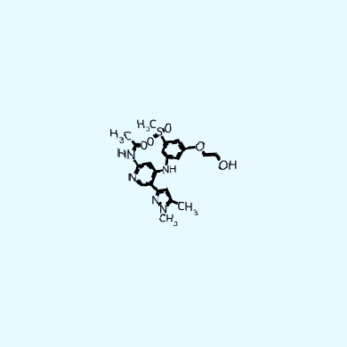 CC(=O)Nc1cc(Nc2cc(OCCO)cc(S(C)(=O)=O)c2)c(-c2cc(C)n(C)n2)cn1